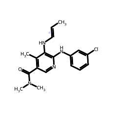 C/C=C/Nc1c(Nc2cccc(Cl)c2)ncc(C(=O)N(C)C)c1C